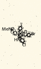 CNC(=O)OC1CCN(C(=O)[C@]2(Sc3ccc(C)cc3)CC(=O)N(Cc3ccc(Br)cc3)[C@H]2c2c[nH]c3cc(Cl)ccc23)CC1